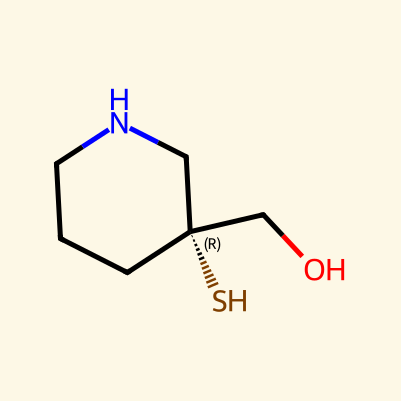 OC[C@@]1(S)CCCNC1